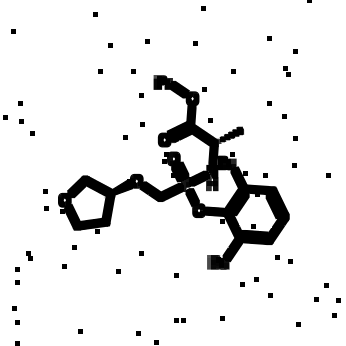 CCC(C)c1cccc(C(C)CC)c1OP(=O)(CO[C@H]1CCOC1)N[C@@H](C)C(=O)OC(C)C